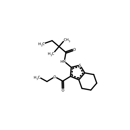 CCOC(=O)c1c(NC(=O)C(C)(C)CC)sc2c1CCCC2